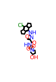 O=C(NS(=O)(=O)N1CCC(O)C1)c1coc(Nc2c3c(c(Cl)c4c2CCC4)CCC3)n1